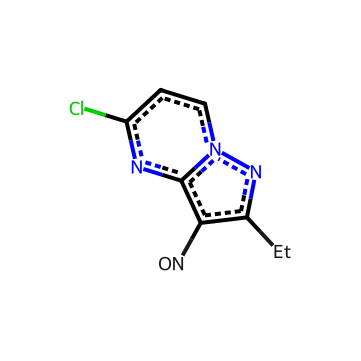 CCc1nn2ccc(Cl)nc2c1N=O